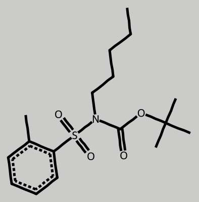 CCCCCN(C(=O)OC(C)(C)C)S(=O)(=O)c1ccccc1C